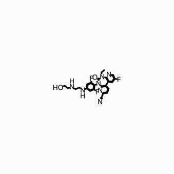 CCN1C(=O)N(c2c(F)cc(NCCNCCO)cc2F)c2nc(C#N)ccc2-c2cc(F)cnc21